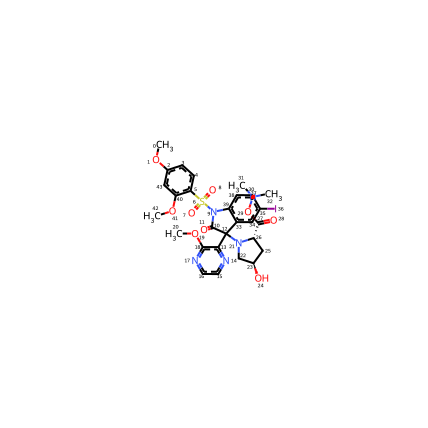 COc1ccc(S(=O)(=O)N2C(=O)C(c3nccnc3OC)(N3C[C@H](O)C[C@H]3C(=O)ON(C)C)c3cc(I)ccc32)c(OC)c1